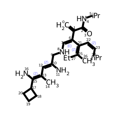 C=C(C(=O)NC(C)C)C(=C/NC/C(N)=C/C(C)=C(\N)C1CCC1)/C(/C=C\CCC)=C(/C)CC